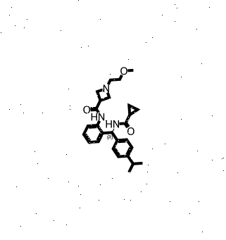 COCCN1CC(C(=O)Nc2ccccc2[C@H](NC(=O)C2CC2)c2ccc(C(C)C)cc2)C1